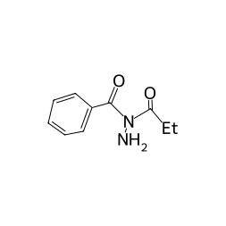 CCC(=O)N(N)C(=O)c1ccccc1